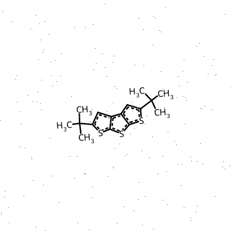 CC(C)(C)c1cc2c(s1)sc1sc(C(C)(C)C)cc12